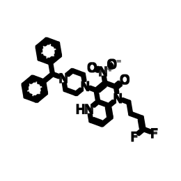 O=C1C([N+](=O)[O-])=C(N2CCN(C(c3ccccc3)c3ccccc3)CC2)C2NC=CC=C2N1CCC=C(F)F